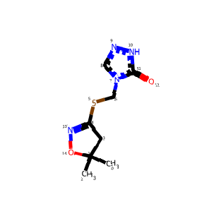 CC1(C)CC(SCn2cn[nH]c2=O)=NO1